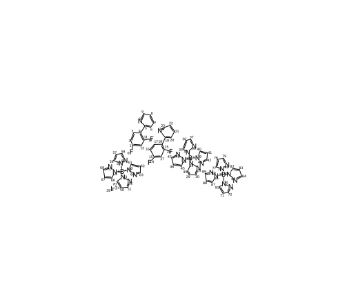 Fc1ccc(-c2ccccn2)c(F)c1.Fc1ccc(-c2ccccn2)c(F)c1.[Ir+3].c1cnn([B-](n2cccn2)(n2cccn2)n2cccn2)c1.c1cnn([B-](n2cccn2)(n2cccn2)n2cccn2)c1.c1cnn([B-](n2cccn2)(n2cccn2)n2cccn2)c1